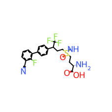 N#Cc1cccc(-c2ccc(C(CCS(=N)(=O)CC[C@H](N)C(=O)O)C(F)(F)F)cc2)c1F